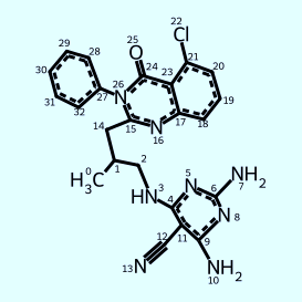 CC(CNc1nc(N)nc(N)c1C#N)Cc1nc2cccc(Cl)c2c(=O)n1-c1ccccc1